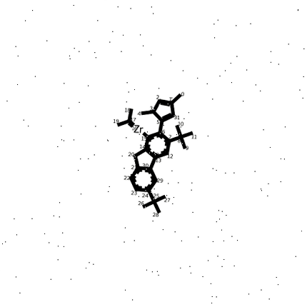 CC1=CC(C)C(c2c(C(C)(C)C)cc3c([c]2[Zr]=[C](C)C)Cc2ccc(C(C)(C)C)cc2-3)=C1